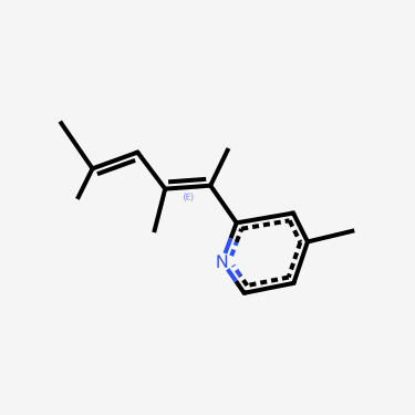 CC(C)=C/C(C)=C(\C)c1cc(C)ccn1